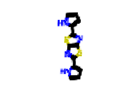 c1c[nH]c(-c2nc3sc(-c4ccc[nH]4)nc3s2)c1